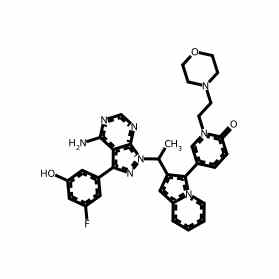 CC(c1cc2ccccn2c1-c1ccc(=O)n(CCN2CCOCC2)c1)n1nc(-c2cc(O)cc(F)c2)c2c(N)ncnc21